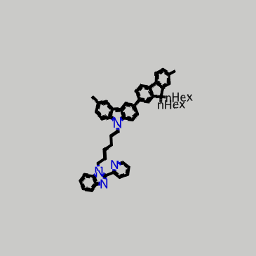 CCCCCCC1(CCCCCC)c2cc(C)ccc2-c2ccc(-c3ccc4c(c3)c3cc(C)ccc3n4CCCCCCn3c(-c4ccccn4)nc4ccccc43)cc21